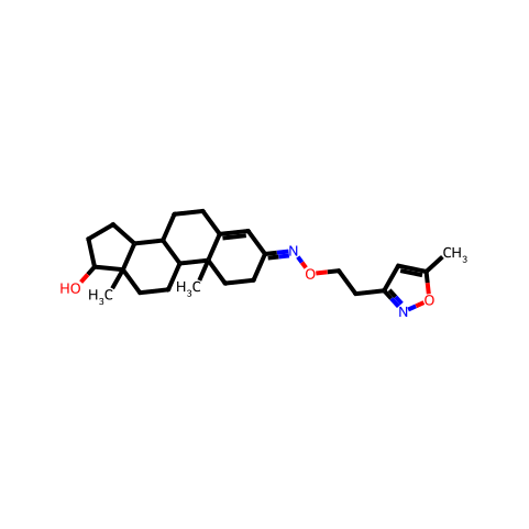 Cc1cc(CCON=C2C=C3CCC4C(CCC5(C)C(O)CCC45)C3(C)CC2)no1